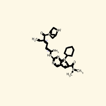 C=C/C(=C\C=C(/N)Nc1ncc2cc(C(=O)N(C)C)n(C3CCCCC3)c2n1)C(=O)N1CC2CC1CN2